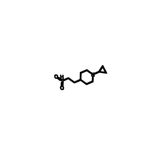 O=[SH](=O)CCC1CCN(C2CC2)CC1